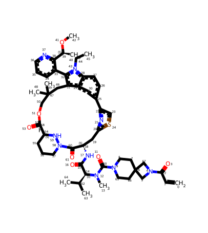 C=CC(=O)N1CC2(CCN(C(=O)N(C)[C@H](C(=O)N[C@H]3Cc4nc(cs4)-c4ccc5c(c4)c(c(-c4cccnc4[C@H](C)OC)n5CC)CC(C)(C)COC(=O)[C@@H]4CCCN(N4)C3=O)C(C)C)CC2)C1